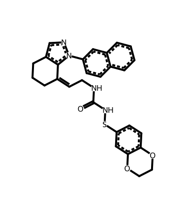 O=C(NC/C=C1/CCCc2cnn(-c3ccc4ccccc4c3)c21)NSc1ccc2c(c1)OCCO2